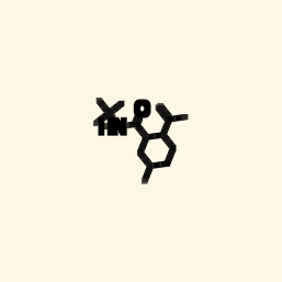 C=C(C)C1CCC(C)CC1C(=O)NC(C)(C)C